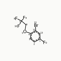 Fc1ccc(OCC(F)(F)F)c(Br)c1